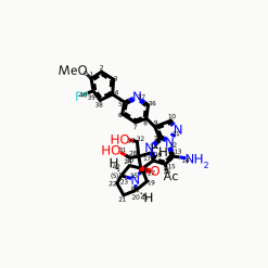 COc1ccc(-c2ccc(-c3cnn4c(N)c(C(C)=O)c(C5C[C@H]6CC[C@@H](C5)N6C(=O)C(C)(CO)CO)nc34)cn2)cc1F